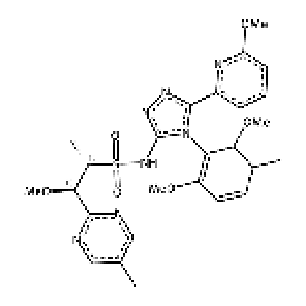 COC1=C(n2c(NS(=O)(=O)[C@@H](C)[C@H](OC)c3ncc(C)cn3)nnc2-c2cccc(OC)n2)C(OC)C(C)C=C1